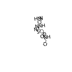 O=C(NCCc1ccccc1)OC1CCc2c(sc3ncnc(Nc4ccc5[nH]ncc5c4)c23)C1